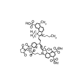 CCCC[N+]1=C(/C=C/C(=C/C=C2/N(CCCS(=O)(=O)O)c3ccc4c(S(=O)(=O)O)cc(S(=O)(=O)O)cc4c3C2(C)C)c2ccc(C(=O)ON3C(=O)CCC3=O)cn2)C(C)(C)c2c1ccc1c(C)cc(S(=O)(=O)O)cc21